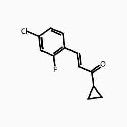 O=C(/C=C/c1ccc(Cl)cc1F)C1CC1